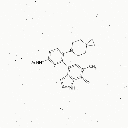 CC(=O)Nc1ccc(N2CCC3(CC2)CC3)c(-c2cn(C)c(=O)c3[nH]ccc23)c1